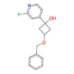 OC1(c2ccnc(F)c2)CC(OCc2ccccc2)C1